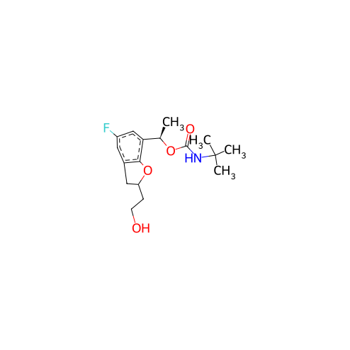 C[C@@H](OC(=O)NC(C)(C)C)c1cc(F)cc2c1OC(CCO)C2